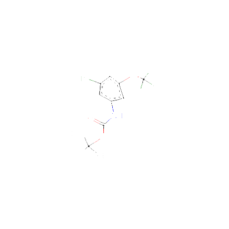 CC(C)(C)OC(=O)Nc1cc(Br)cc(OC(F)(F)F)c1